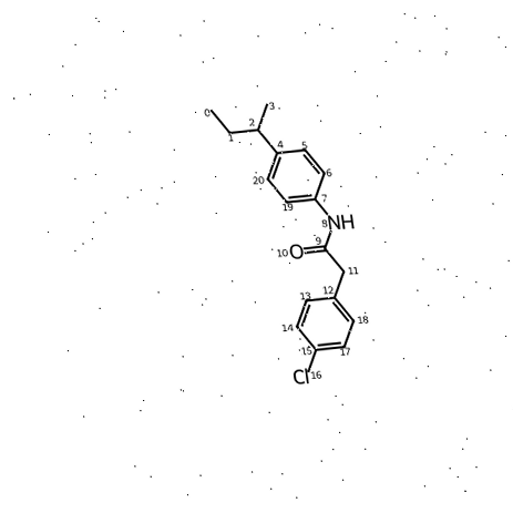 CCC(C)c1ccc(NC(=O)Cc2ccc(Cl)cc2)cc1